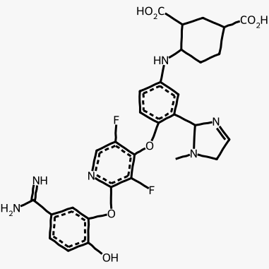 CN1CC=NC1c1cc(NC2CCC(C(=O)O)CC2C(=O)O)ccc1Oc1c(F)cnc(Oc2cc(C(=N)N)ccc2O)c1F